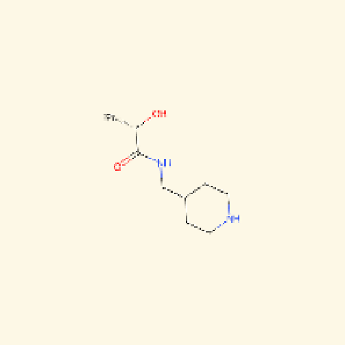 CC(C)[C@H](O)C(=O)NCC1CCNCC1